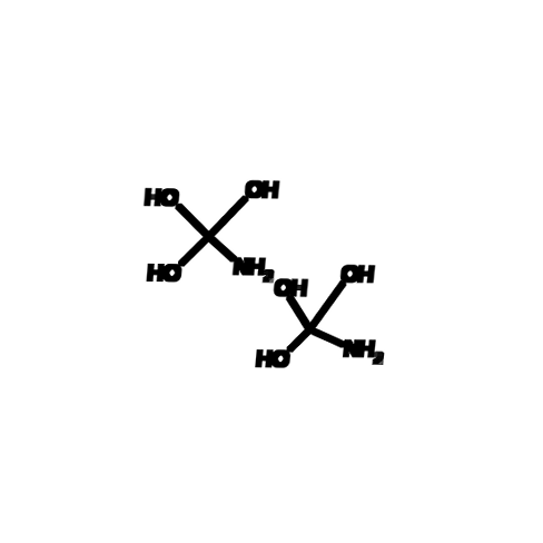 NC(O)(O)O.NC(O)(O)O